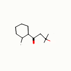 CCC(C)C1CCCCC1C(=O)CC(C)(C)O